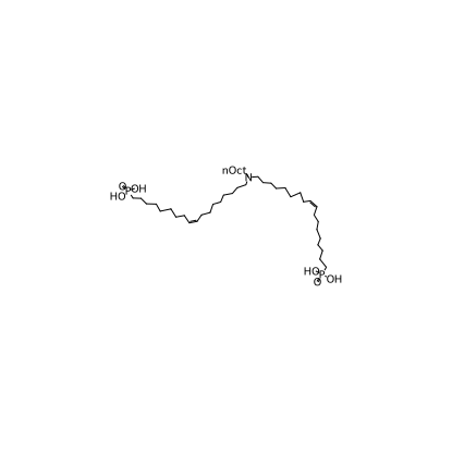 CCCCCCCCN(CCCCCCCC/C=C\CCCCCCCCP(=O)(O)O)CCCCCCCC/C=C\CCCCCCCCP(=O)(O)O